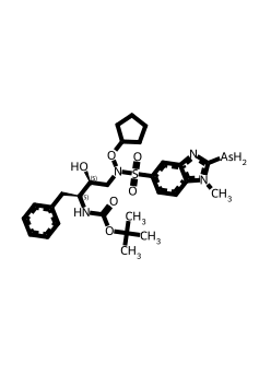 Cn1c([AsH2])nc2cc(S(=O)(=O)N(C[C@H](O)[C@H](Cc3ccccc3)NC(=O)OC(C)(C)C)OC3CCCC3)ccc21